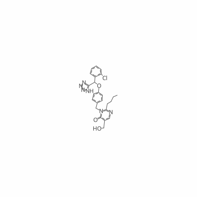 CCCCc1ncc(CO)c(=O)n1Cc1ccc(OC(c2nnn[nH]2)c2ccccc2Cl)cc1